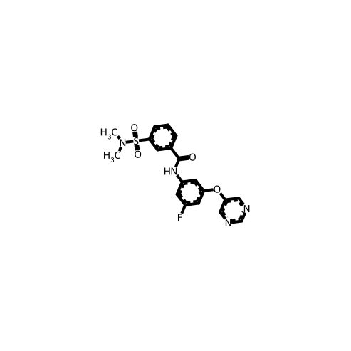 CN(C)S(=O)(=O)c1cccc(C(=O)Nc2cc(F)cc(Oc3cncnc3)c2)c1